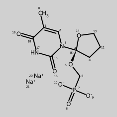 Cc1cn([C@@]2(OCP(=O)([O-])[O-])CCCO2)c(=O)[nH]c1=O.[Na+].[Na+]